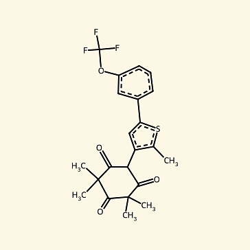 Cc1sc(-c2cccc(OC(F)(F)F)c2)cc1C1C(=O)C(C)(C)C(=O)C(C)(C)C1=O